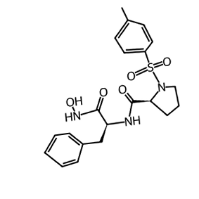 Cc1ccc(S(=O)(=O)N2CCC[C@H]2C(=O)N[C@@H](Cc2ccccc2)C(=O)NO)cc1